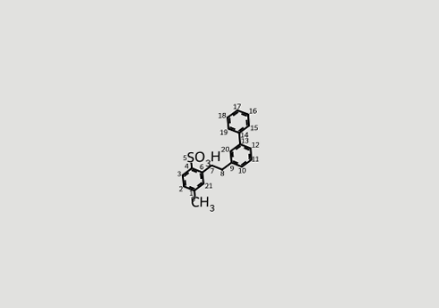 Cc1ccc(S(=O)(=O)O)c(CCc2cccc(-c3ccccc3)c2)c1